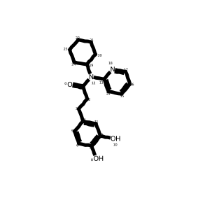 O=C(CCc1ccc(O)c(O)c1)N(c1ccccn1)C1CCCCC1